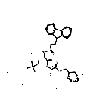 C[C@H](NC(=O)[C@H](COC(C)(C)C)NC(=O)OCC1c2ccccc2-c2ccccc21)C(=O)OCc1ccccc1